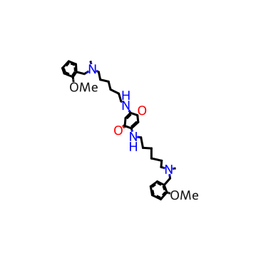 COc1ccccc1CN(C)CCCCCCNC1=CC(=O)C(NCCCCCCN(C)Cc2ccccc2OC)=CC1=O